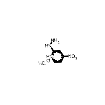 Cl.Cl.NNc1cc([N+](=O)[O-])ccn1